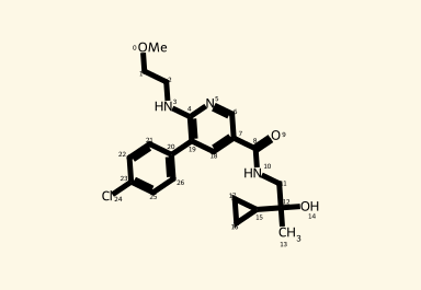 COCCNc1ncc(C(=O)NCC(C)(O)C2CC2)cc1-c1ccc(Cl)cc1